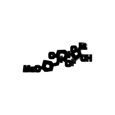 CC[C@H]1O[C@@H](n2ccc(=O)n(Cc3ccc(OC)cc3)c2=O)[C@H](F)[C@@H]1O